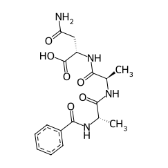 C[C@H](NC(=O)c1ccccc1)C(=O)N[C@H](C)C(=O)N[C@@H](CC(N)=O)C(=O)O